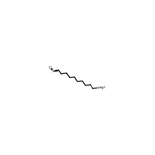 CCCCCCCCCCCCCCCCC=S=O